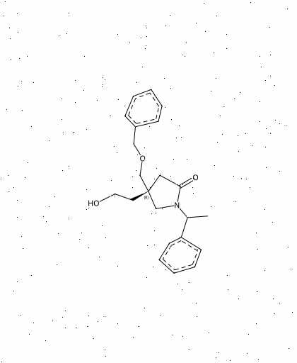 CC(c1ccccc1)N1C[C@](CCO)(COCc2ccccc2)CC1=O